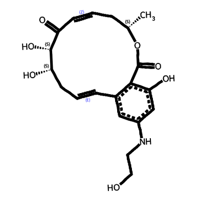 C[C@H]1C/C=C\C(=O)[C@@H](O)[C@@H](O)C/C=C/c2cc(NCCO)cc(O)c2C(=O)O1